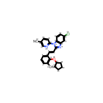 COc1cccc(C=Cc2nc3cc(Cl)ccc3n2-c2ccc(C#N)cn2)c1OC1CCCC1